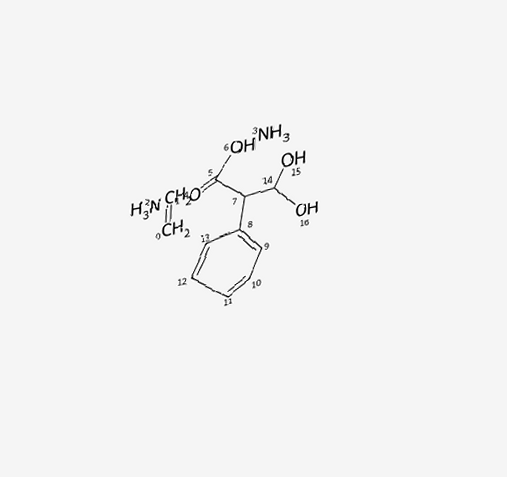 C=C.N.N.O=C(O)C(c1ccccc1)C(O)O